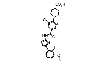 O=C(Nc1nc(-c2cccc(OC(F)(F)F)c2F)cs1)c1cnc(N2CCC(C(=O)O)CC2)c(Cl)c1